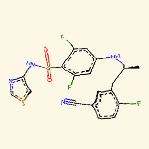 C[C@H](Nc1cc(F)c(S(=O)(=O)Nc2cscn2)c(F)c1)c1cc(C#N)ccc1F